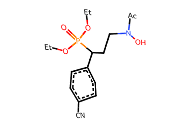 CCOP(=O)(OCC)C(CCN(O)C(C)=O)c1ccc(C#N)cc1